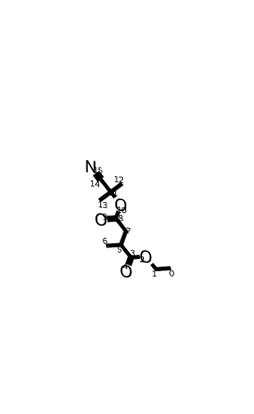 CCOC(=O)C(C)CC(=O)OC(C)(C)C#N